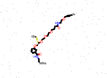 CNCCNC(=O)c1cccc(OC[C@@H](OCCOCCOCCCC(=O)NCCOCC#CC(C)C)SSC(C)(C)C)c1